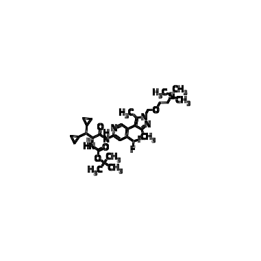 Cc1nn(COCC[Si](C)(C)C)c(C)c1-c1cnc(NC(=O)[C@@H](NC(=O)OC(C)(C)C)C(C2CC2)C2CC2)cc1C(F)F